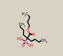 CCCCOC(=O)C(CCCC)(CCCC)P(=O)(O)O